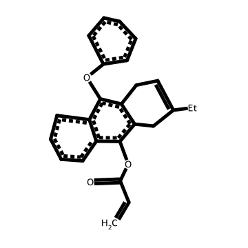 C=CC(=O)Oc1c2c(c(Oc3ccccc3)c3ccccc13)CC=C(CC)C2